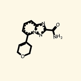 NC(=O)c1nc2cccc(C3=CCOCC3)n2n1